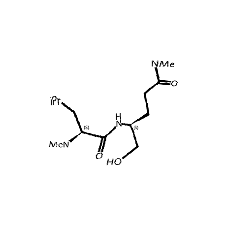 CNC(=O)CC[C@@H](CO)NC(=O)[C@H](CC(C)C)NC